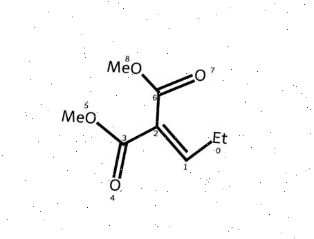 CCC=C(C(=O)OC)C(=O)OC